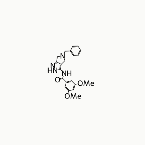 COc1cc(OC)cc(C(=O)Nc2[nH]nc3c2CN(Cc2ccccc2)C3)c1